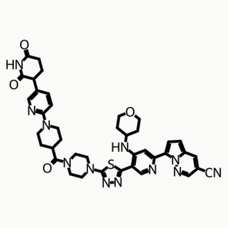 N#Cc1cnn2c(-c3cc(NC4CCOCC4)c(-c4nnc(N5CCN(C(=O)C6CCN(c7ccc(C8CCC(=O)NC8=O)cn7)CC6)CC5)s4)cn3)ccc2c1